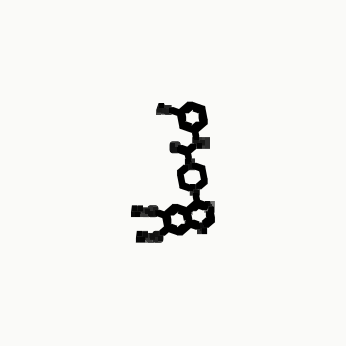 COc1cc2ncnc(N3CCN(C(=O)Nc4cccc(C(C)=O)c4)CC3)c2cc1OC